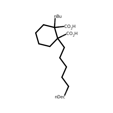 CCCCCCCCCCCCCCCC1(C(=O)O)CCCCC1(CCCC)C(=O)O